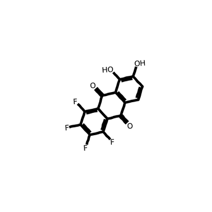 O=C1c2ccc(O)c(O)c2C(=O)c2c(F)c(F)c(F)c(F)c21